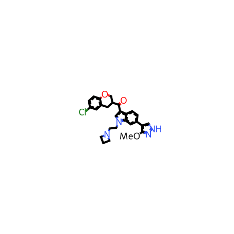 COc1n[nH]cc1-c1ccc2c(C(=O)C3COc4ccc(Cl)cc4C3)cn(CCN3CCC3)c2c1